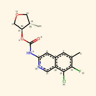 Cc1cc2cc(NC(=O)O[C@H]3COC[C@@H]3C)ncc2c(Cl)c1F